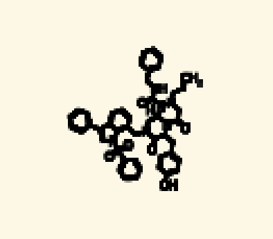 C=CCN1CC(=O)N2C(Cc3ccc(O)cc3)C(=O)N(Cc3cccc4c(-c5ccccc5)cn(S(=O)(=O)c5ccccc5)c34)C[C@@H]2N1C(=O)NCc1ccccc1